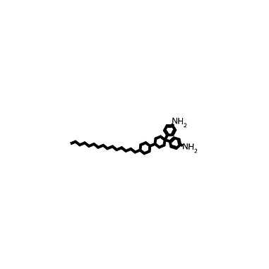 CCCCCCCCCCCCCCCC1CCC(C2CCC(c3ccc(N)cc3)(c3ccc(N)cc3)CC2)CC1